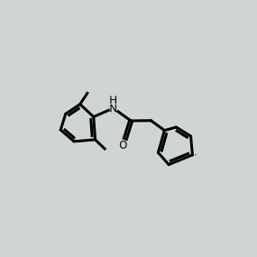 Cc1cccc(C)c1NC(=O)Cc1cc[c]cc1